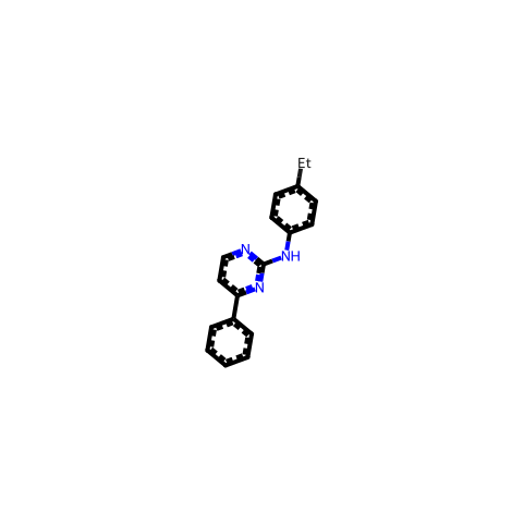 CCc1ccc(Nc2nccc(-c3ccccc3)n2)cc1